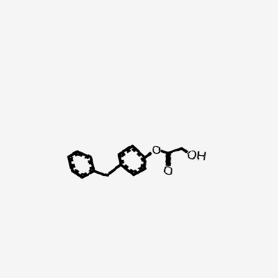 O=C(CO)Oc1ccc(Cc2ccccc2)cc1